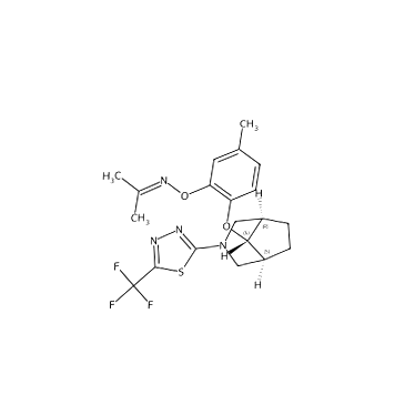 CC(C)=NOc1cc(C)ccc1O[C@@H]1[C@@H]2CC[C@H]1CN(c1nnc(C(F)(F)F)s1)C2